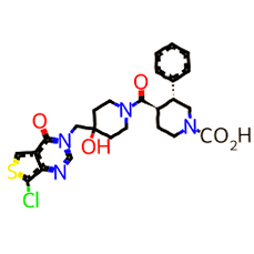 O=C(O)N1CC[C@@H](C(=O)N2CCC(O)(Cn3cnc4c(Cl)scc4c3=O)CC2)[C@H](c2ccccc2)C1